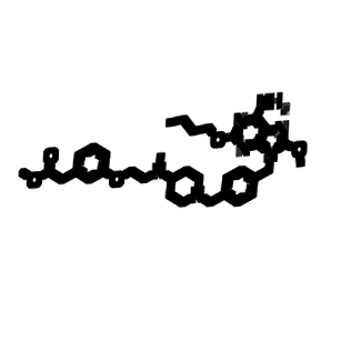 CCCCOc1nc(N)c2nc(OC)n(Cc3ccc(CN4CCC(N(C)CCOc5cccc(CC(=O)OC)c5)CC4)cc3)c2n1